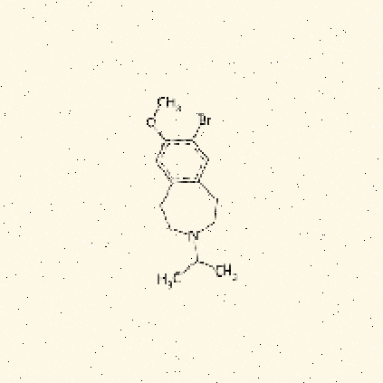 COc1cc2c(cc1Br)CCN(C(C)C)CC2